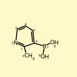 Cc1ncccc1B(O)O